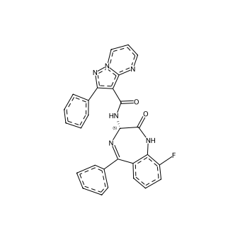 O=C(N[C@H]1N=C(c2ccccc2)c2cccc(F)c2NC1=O)c1c(-c2ccccc2)nn2cccnc12